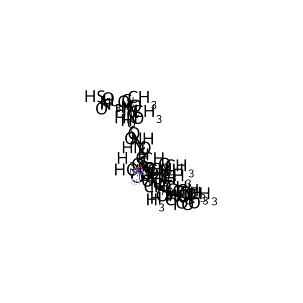 CCC(C)[C@H](NC(=O)CCCCCN1C(=O)CC(S)C1=O)C(=O)N[C@@H](C)C(=O)Nc1ccc(COC(=O)NCCNC(=O)CCC(C)(C)SSC/C=C2\C3=C(NC(=O)OC)C(=O)C[C@@]2(O)C#C/C=C\C#C[C@@H]3OC2OC(C)C(NOC3CC(O)C(SC(=O)c4c(C)c(I)c(OC5OC6OC6C(OC)C5O)c(OC)c4OC)C(C)O3)C(O)C2OC2CC(OC)C(NC(C)=O)CO2)cc1